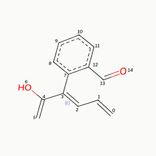 C=C/C=C(/C(=C)O)c1ccccc1C=O